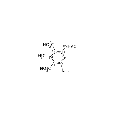 CC(=O)Nc1cc(C)c(C(=O)O)c(C)c1C(=O)O